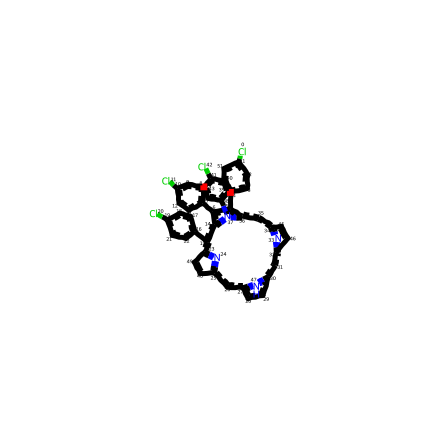 Clc1ccc(-c2c(-c3ccc(Cl)cc3)c3c(-c4ccc(Cl)cc4)c4nc(cc5ccc(cc6nc(cc2n3-c2ccc(Cl)cc2)C=C6)[nH]5)C=C4)cc1